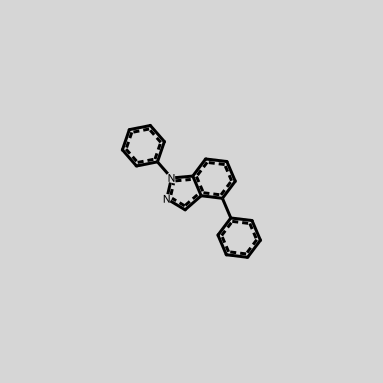 c1ccc(-c2cccc3c2cnn3-c2ccccc2)cc1